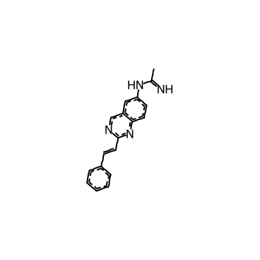 CC(=N)Nc1ccc2nc(C=Cc3ccccc3)ncc2c1